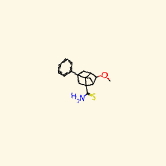 COC1C2CC3(c4ccccc4)CC1C(C(N)=S)(C2)C3